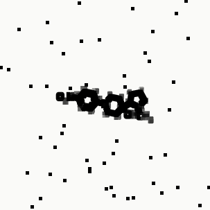 CN1CCCC1C1(O)CCN(c2ccc([N+](=O)[O-])nc2)CC1